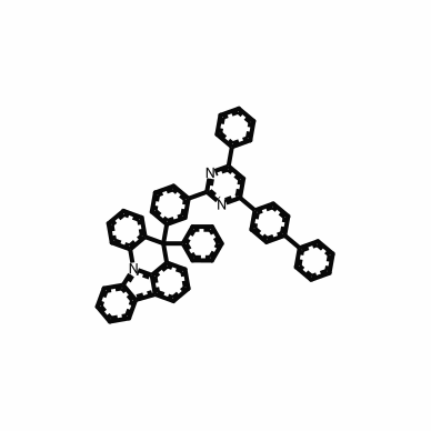 c1ccc(-c2ccc(-c3cc(-c4ccccc4)nc(-c4cccc(C5(c6ccccc6)c6ccccc6-n6c7ccccc7c7cccc5c76)c4)n3)cc2)cc1